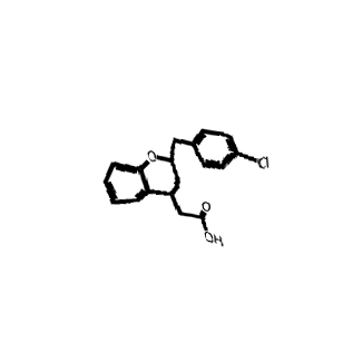 O=C(O)CC1CC(Cc2ccc(Cl)cc2)Oc2ccccc21